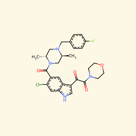 C[C@@H]1CN(Cc2ccc(F)cc2)[C@@H](C)CN1C(=O)c1cc2c(C(=O)C(=O)N3CCOCC3)c[nH]c2cc1Cl